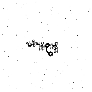 Cn1ccc(S(=O)(=O)NCCNC(=O)Nc2ccc3cc2CCc2cccc(c2)Nc2ncc(Cl)c(n2)N3)n1